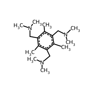 Cc1c(CN(C)C)c(C)c(CN(C)C)c(C)c1CN(C)C